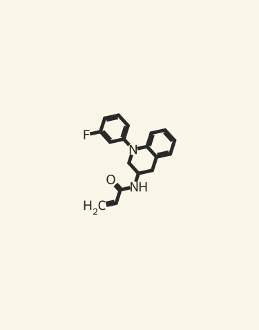 C=CC(=O)NC1Cc2ccccc2N(c2cccc(F)c2)C1